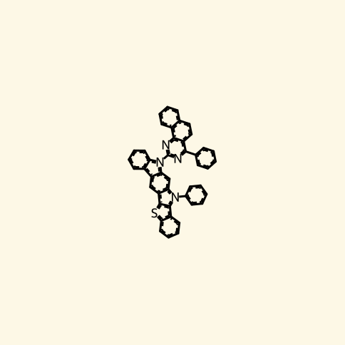 c1ccc(-c2nc(-n3c4ccccc4c4cc5c6sc7ccccc7c6n(-c6ccccc6)c5cc43)nc3c2ccc2ccccc23)cc1